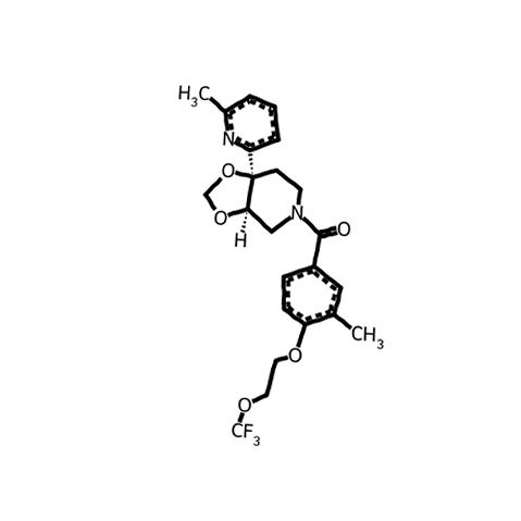 Cc1cccc([C@]23CCN(C(=O)c4ccc(OCCOC(F)(F)F)c(C)c4)C[C@H]2OCO3)n1